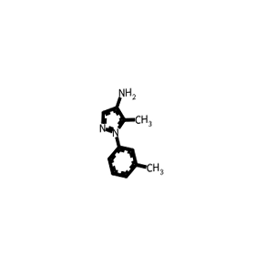 Cc1cccc(-n2ncc(N)c2C)c1